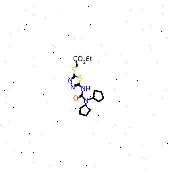 CCOC(=O)CSc1nnc(NC(=O)N(C2CCCC2)C2CCCC2)s1